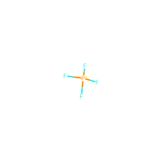 F[P+](F)(F)F